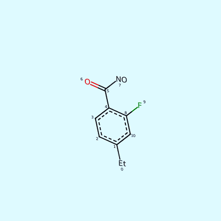 CCc1ccc(C(=O)N=O)c(F)c1